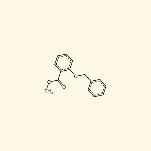 COC(=O)c1ccccc1OCc1ccccc1